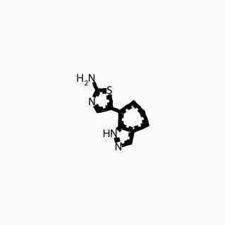 Nc1ncc(-c2cccc3cn[nH]c23)s1